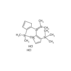 C[Si](C)=[Zr]([C]1=C([Si](C)(C)C)C=CC1)[C]1=C([Si](C)(C)C)C=CC1.Cl.Cl